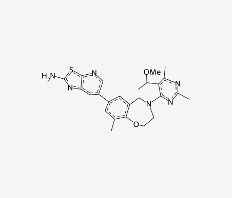 COC(C)c1c(C)nc(C)nc1N1CCOc2c(C)cc(-c3cnc4sc(N)nc4c3)cc2C1